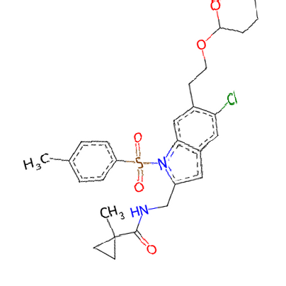 Cc1ccc(S(=O)(=O)n2c(CNC(=O)C3(C)CC3)cc3cc(Cl)c(CCOC4CCCCO4)cc32)cc1